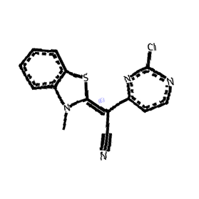 CN1/C(=C(\C#N)c2ccnc(Cl)n2)Sc2ccccc21